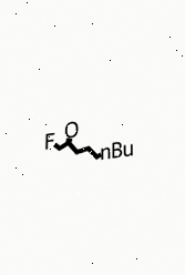 CCCCCCCC(=O)CF